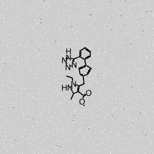 CCN1NC(C)C(C(=O)OC)=C1Cc1ccc(-c2ccccc2-c2nnn[nH]2)cc1